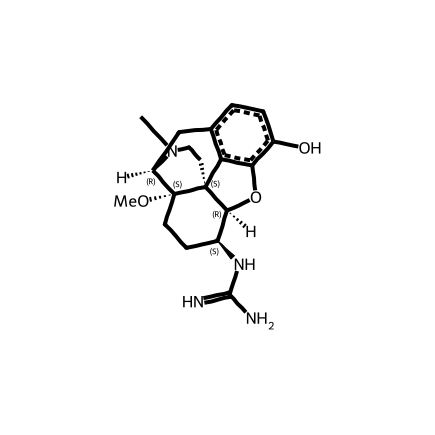 CO[C@@]12CC[C@H](NC(=N)N)[C@@H]3Oc4c(O)ccc5c4[C@@]31CCN(C)[C@@H]2C5